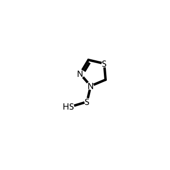 SSN1CSC=N1